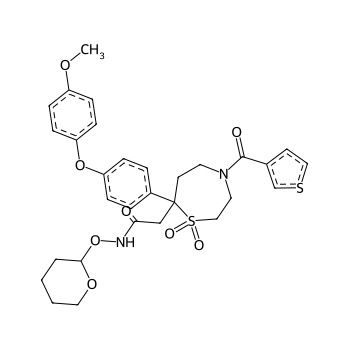 COc1ccc(Oc2ccc(C3(CC(=O)NOC4CCCCO4)CCN(C(=O)c4ccsc4)CCS3(=O)=O)cc2)cc1